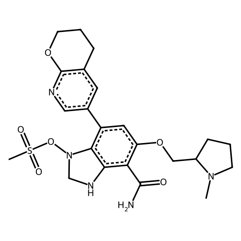 CN1CCCC1COc1cc(-c2cnc3c(c2)CCCO3)c2c(c1C(N)=O)NCN2OS(C)(=O)=O